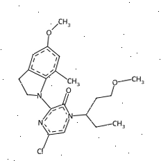 CCC(CCOC)n1cc(Cl)nc(N2CCc3cc(OC)cc(C)c32)c1=O